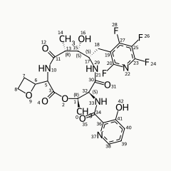 C[C@H]1OC(=O)C(C2CCO2)NC(=O)[C@H](C)[C@H](O)[C@H](Cc2c(F)nc(F)c(F)c2F)NC(=O)[C@H]1NC(=O)c1ncccc1O